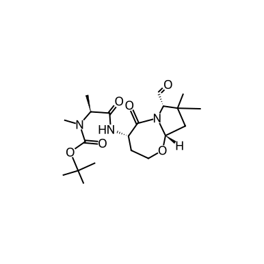 C[C@@H](C(=O)N[C@H]1CCO[C@H]2CC(C)(C)[C@@H](C=O)N2C1=O)N(C)C(=O)OC(C)(C)C